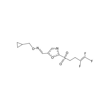 O=S(=O)(CCC(F)=C(F)F)c1ncc(C=NOCC2CC2)o1